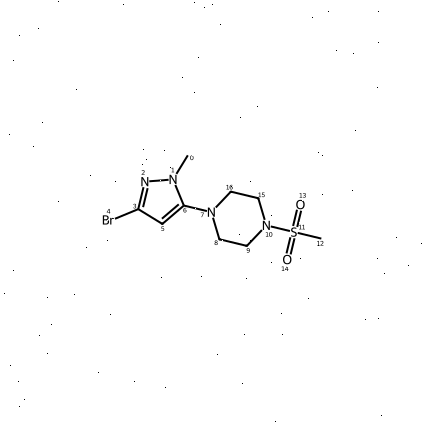 Cn1nc(Br)cc1N1CCN(S(C)(=O)=O)CC1